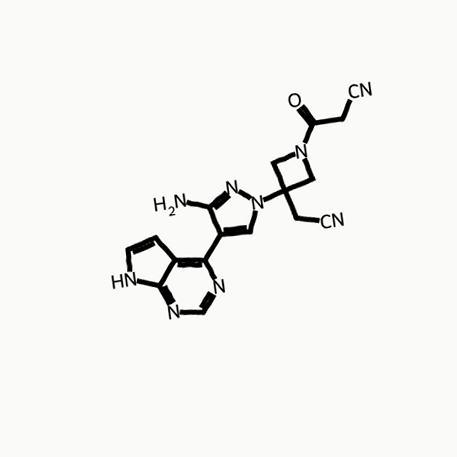 N#CCC(=O)N1CC(CC#N)(n2cc(-c3ncnc4[nH]ccc34)c(N)n2)C1